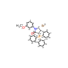 COc1cccc(N2CCC([P+](c3ccccc3)(c3ccccc3)c3ccccc3)C2=O)c1.[Br-]